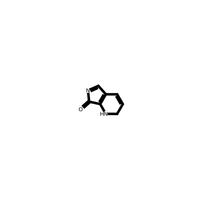 O=C1N=CC2=C1NCC=C2